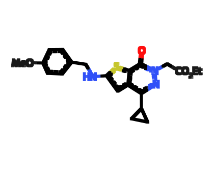 CCOC(=O)Cn1nc(C2CC2)c2cc(NCc3ccc(OC)cc3)sc2c1=O